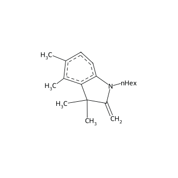 C=C1N(CCCCCC)c2ccc(C)c(C)c2C1(C)C